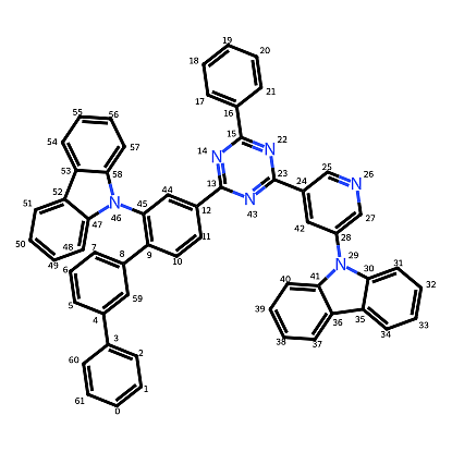 c1ccc(-c2cccc(-c3ccc(-c4nc(-c5ccccc5)nc(-c5cncc(-n6c7ccccc7c7ccccc76)c5)n4)cc3-n3c4ccccc4c4ccccc43)c2)cc1